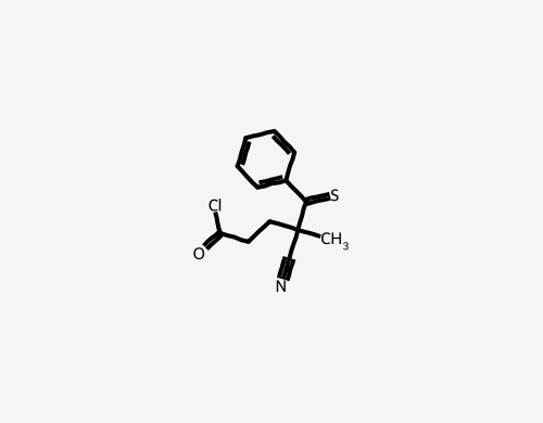 CC(C#N)(CCC(=O)Cl)C(=S)c1ccccc1